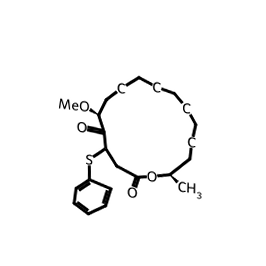 CO[C@H]1CCCCCCCCC[C@@H](C)OC(=O)CC(Sc2ccccc2)C1=O